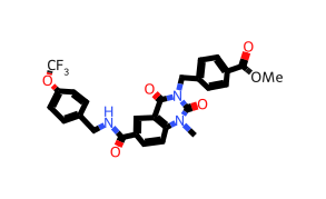 COC(=O)c1ccc(Cn2c(=O)c3cc(C(=O)NCc4ccc(OC(F)(F)F)cc4)ccc3n(C)c2=O)cc1